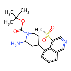 CC(C)(C)OC(=O)N1CCC(c2cccc3cncc(S(C)(=O)=O)c23)CC1N